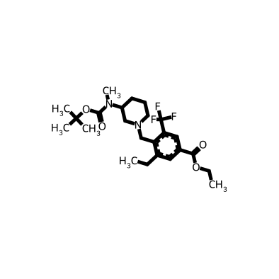 CCOC(=O)c1cc(CC)c(CN2CCCC(N(C)C(=O)OC(C)(C)C)C2)c(C(F)(F)F)c1